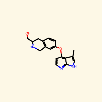 Cc1c[nH]c2nccc(Oc3ccc4c(c3)CNC(CO)C4)c12